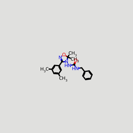 Cc1cc(C)cc(C2=NOC(C)(C)N2NC(=O)NCc2ccccc2)c1